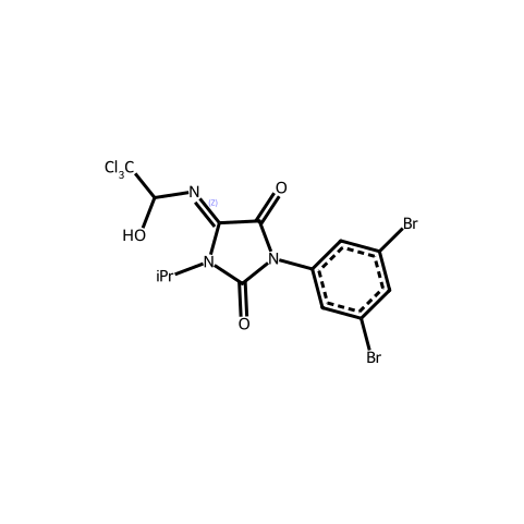 CC(C)N1C(=O)N(c2cc(Br)cc(Br)c2)C(=O)/C1=N/C(O)C(Cl)(Cl)Cl